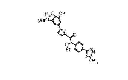 CCOC(C(=O)c1ccc(-c2cc(O)c(C)c(OC)c2)o1)c1ccc(-c2nnc(C)s2)cc1